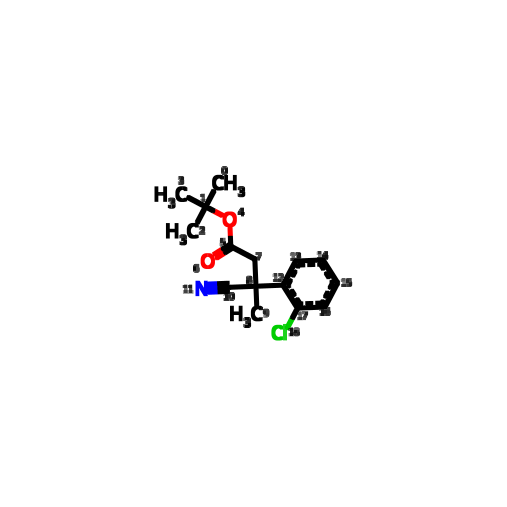 CC(C)(C)OC(=O)CC(C)(C#N)c1ccccc1Cl